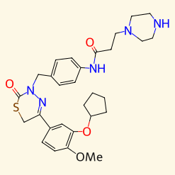 COc1ccc(C2=NN(Cc3ccc(NC(=O)CCN4CCNCC4)cc3)C(=O)SC2)cc1OC1CCCC1